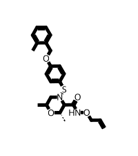 C=CCONC(=O)C1[C@H](C)OC(C)CN1Sc1ccc(OCc2ccccc2C)cc1